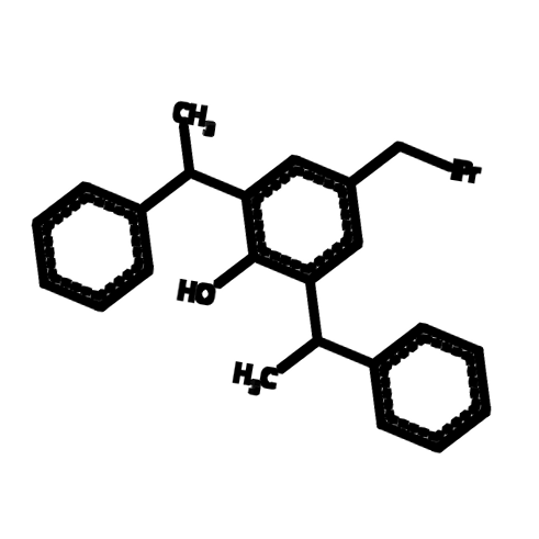 CC(C)Cc1cc(C(C)c2ccccc2)c(O)c(C(C)c2ccccc2)c1